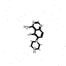 Nc1ncnc2ccc(N3CCNCC3)c(F)c12